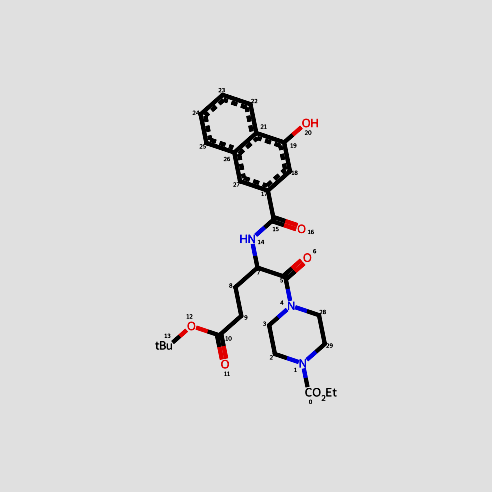 CCOC(=O)N1CCN(C(=O)C(CCC(=O)OC(C)(C)C)NC(=O)c2cc(O)c3ccccc3c2)CC1